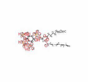 C#CC#CC#CC#CC(=O)OC[C@H](COP(=O)(O)OC1C(O)[C@@H](OP(=O)(O)O)C(OP(=O)(O)O)[C@@H](OP(=O)(O)O)[C@H]1O)OC(=O)CCCCCCCCCCCCCCC